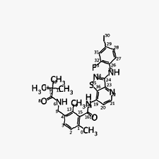 Cc1ccc(CNC(=O)C(C)(C)C)c(C)c1C(=O)Nc1ccnc2c(Nc3ccc(I)cc3F)nsc12